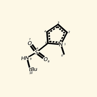 Cn1cccc1S(=O)(=O)NC(C)(C)C